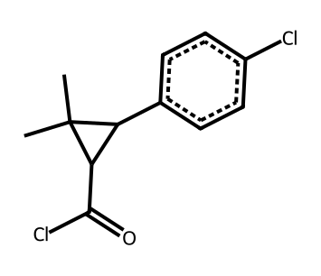 CC1(C)C(C(=O)Cl)C1c1ccc(Cl)cc1